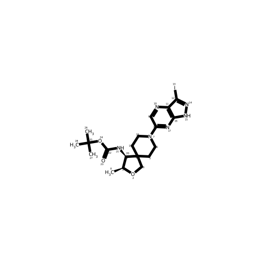 C[C@@H]1OCC2(CCN(c3cnc4c(I)n[nH]c4n3)CC2)[C@@H]1NC(=O)OC(C)(C)C